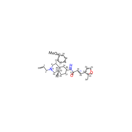 C=CCN1CC[C@@]2(c3cccc(OC)c3)C[C@H](NC(=O)/C=C/c3ccoc3C)CC[C@@H]2C1